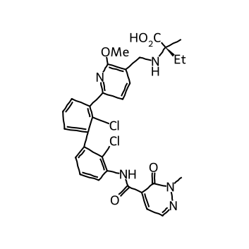 CC[C@@](C)(NCc1ccc(-c2cccc(-c3cccc(NC(=O)c4ccnn(C)c4=O)c3Cl)c2Cl)nc1OC)C(=O)O